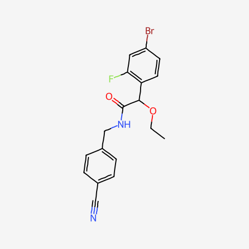 CCOC(C(=O)NCc1ccc(C#N)cc1)c1ccc(Br)cc1F